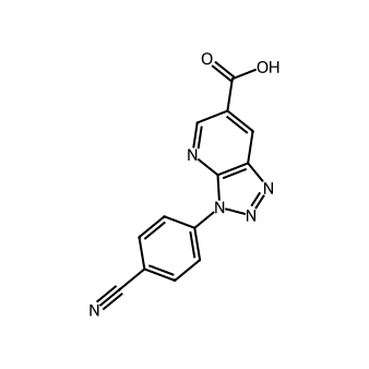 N#Cc1ccc(-n2nnc3cc(C(=O)O)cnc32)cc1